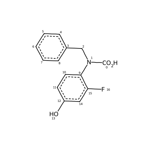 O=C(O)N(Cc1ccccc1)c1ccc(O)cc1F